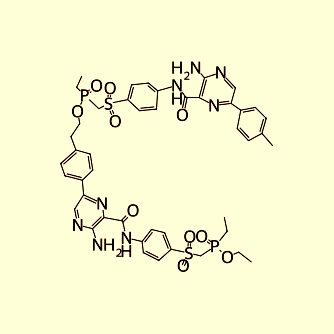 CCOP(=O)(CC)CS(=O)(=O)c1ccc(NC(=O)c2nc(-c3ccc(CCOP(=O)(CC)CS(=O)(=O)c4ccc(NC(=O)c5nc(-c6ccc(C)cc6)cnc5N)cc4)cc3)cnc2N)cc1